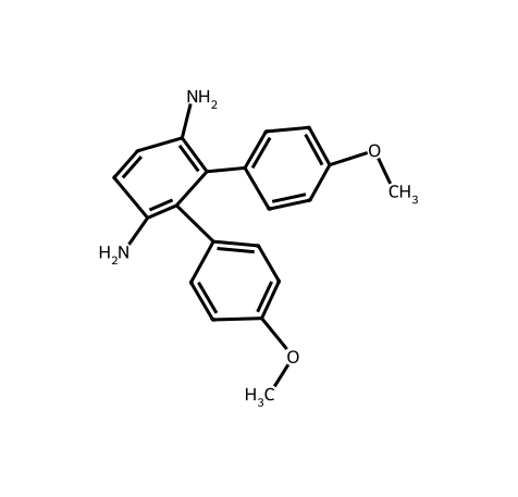 COc1ccc(-c2c(N)ccc(N)c2-c2ccc(OC)cc2)cc1